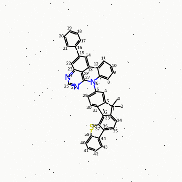 CC1(C)c2cc(N3c4ccccc4-c4cc(-c5ccccc5)cc5ncnc3c45)ccc2-c2c1ccc1c2sc2ccccc21